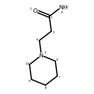 [NH]C(=O)CCN1CCCCC1